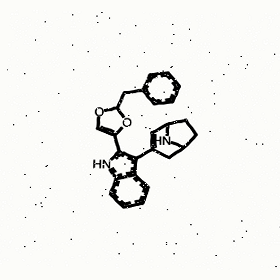 C1=C(c2[nH]c3ccccc3c2C2=CC3CCC(C2)N3)OC(Cc2ccccc2)O1